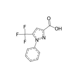 O=C(O)c1cc(C(F)(F)F)n(-c2ccccc2)n1